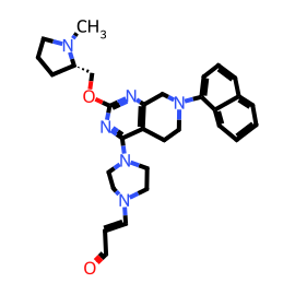 CN1CCC[C@H]1COc1nc2c(c(N3CCN(C=CC=O)CC3)n1)CCN(c1cccc3ccccc13)C2